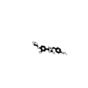 CCCOc1ccc(-c2nn(Cc3ccc(N)cc3)c(=O)o2)cc1Cl